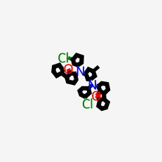 Cc1cc(N(c2cccc(Cl)c2)c2cccc3c2oc2ccccc23)cc(N(c2cccc(Cl)c2)c2cccc3c2oc2ccccc23)c1